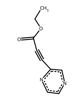 CCOC(=O)C#Cc1cnccn1